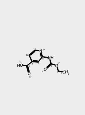 CCOC(=O)Nc1cc(C(=O)O)ccn1